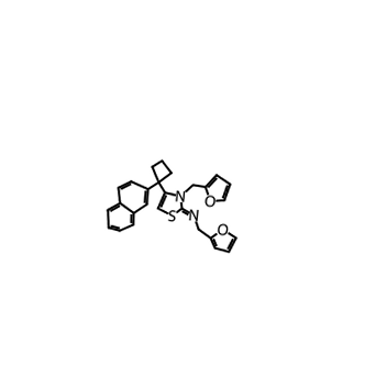 c1coc(CN=c2scc(C3(c4ccc5ccccc5c4)CCC3)n2Cc2ccco2)c1